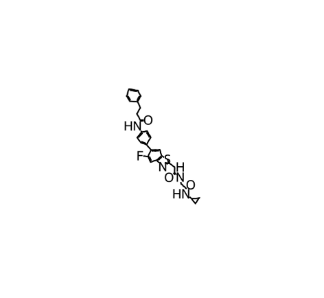 O=C(Cc1nc2cc(F)c(-c3ccc(NC(=O)CCc4ccccc4)cc3)cc2s1)NCC(=O)NC1CC1